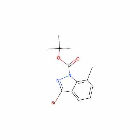 Cc1cccc2c(Br)nn(C(=O)OC(C)(C)C)c12